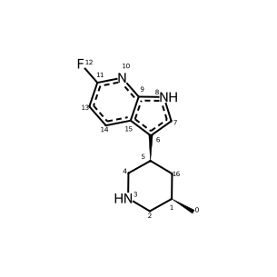 C[C@H]1CNC[C@@H](c2c[nH]c3nc(F)ccc23)C1